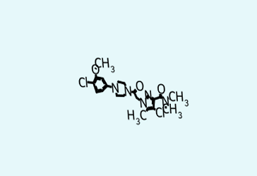 COc1cc(N2CCN(C(=O)Cn3nc(C(=O)N(C)C)c(Cl)c3C)CC2)ccc1Cl